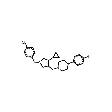 Fc1ccc(C2CCN(CC3CN(Cc4ccc(Cl)cc4)CC3C3CC3)CC2)cc1